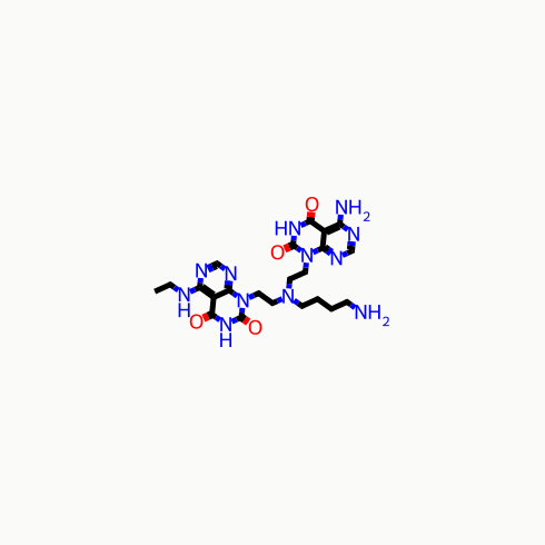 CCNc1ncnc2c1c(=O)[nH]c(=O)n2CCN(CCCCN)CCn1c(=O)[nH]c(=O)c2c(N)ncnc21